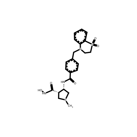 CN1C[C@H](C(=O)NO)[C@H](NC(=O)c2ccc(CN3CCS(=O)(=O)c4ccccc43)cc2)C1